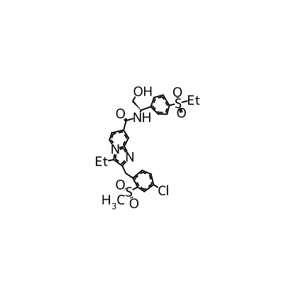 CCc1c(Cc2ccc(Cl)cc2S(C)(=O)=O)nc2cc(C(=O)N[C@@H](CO)c3ccc(S(=O)(=O)CC)cc3)ccn12